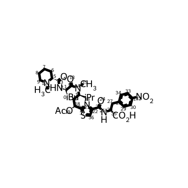 CC[C@H](C)[C@H](NC(=O)[C@H]1CCCCN1C)C(=O)N(C)[C@H](C[C@@H](OC(C)=O)c1nc(C(=O)N[C@@H](Cc2ccc([N+](=O)[O-])cc2)C(=O)O)cs1)C(C)C